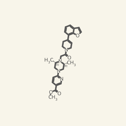 COC(=O)c1ccc(N2C[C@@H](C)N(CC(=O)N3CC=C(c4cccc5ccoc45)CC3)[C@@H](C)C2)nc1